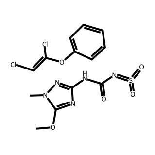 COc1nc(NC(=O)N=S(=O)=O)nn1C.ClC=C(Cl)Oc1ccccc1